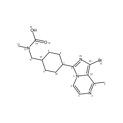 Cc1nccn2c(C3CCC(CN(C)C(=O)O)CC3)nc(Br)c12